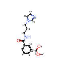 COC(=O)c1cccc(C(=O)NCCCn2ccnc2)c1